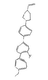 C=CC1CCC(c2ccc(-c3ccc(-c4ccc(CC)cc4)c(F)c3)cc2)CC1